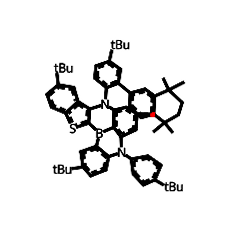 Cc1cc2c3c(c1)N(c1ccc(C(C)(C)C)cc1-c1ccc4c(c1)C(C)(C)CCC4(C)C)c1c(sc4ccc(C(C)(C)C)cc14)B3c1cc(C(C)(C)C)ccc1N2c1ccc(C(C)(C)C)cc1